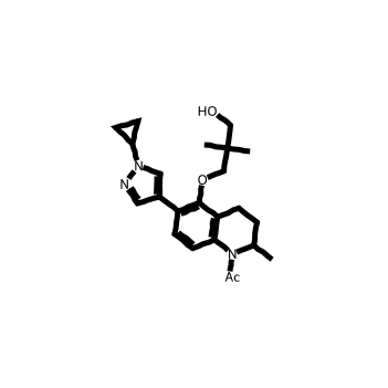 CC(=O)N1c2ccc(-c3cnn(C4CC4)c3)c(OCC(C)(C)CO)c2CCC1C